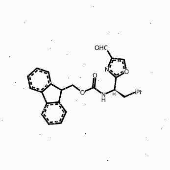 CC(C)C[C@@H](NC(=O)OCC1c2ccccc2-c2ccccc21)c1nc(C=O)co1